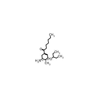 CCCCCCC(=O)C1=C[C@@H](OC(CC)CC)[C@H](C)[C@@H](N)C1